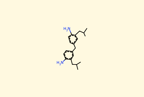 CC(C)Cc1cc(Cc2ccc(N)c(CC(C)C)c2)ccc1N